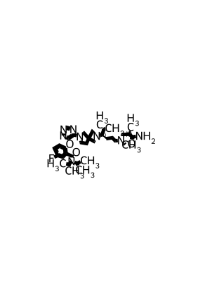 CC(C)[C@@H](CCCN(C)C[C@@H](C)C(N)=O)N1CC2(CCN(c3ncnnc3Oc3ccc(F)cc3C(=O)N(C(C)C)C(C)C)C2)C1